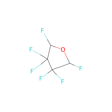 FC1OC(F)C(F)(F)C1(F)F